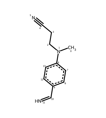 CN(CCC#N)c1ccc(C=N)cc1